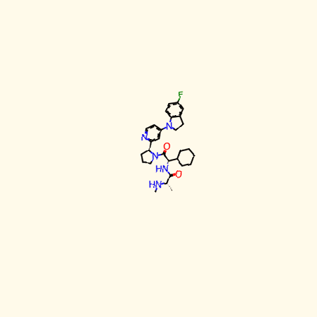 CN[C@@H](C)C(=O)N[C@H](C(=O)N1CCC[C@H]1c1cc(N2CCc3cc(F)ccc32)ccn1)C1CCCCC1